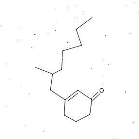 CCCCCC(C)CC1=CC(=O)CCC1